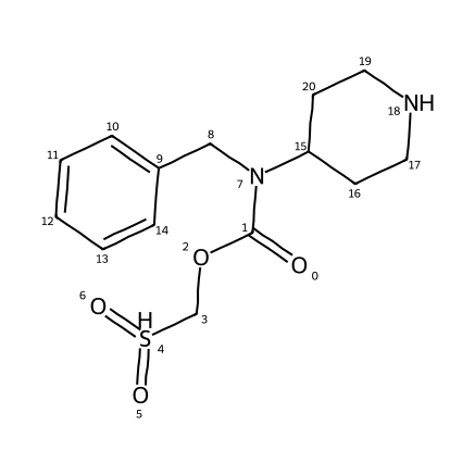 O=C(OC[SH](=O)=O)N(Cc1ccccc1)C1CCNCC1